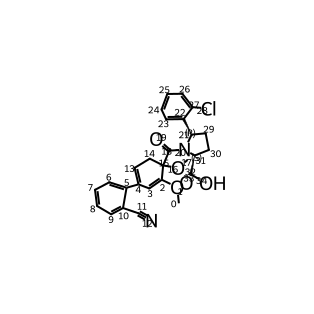 COC1=CC(c2ccccc2C#N)=CCC1(OC)C(=O)N1[C@@H](c2ccccc2Cl)CC[C@H]1C(=O)O